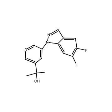 CC(C)(O)c1cncc(-n2ncc3cc(F)c(F)cc32)c1